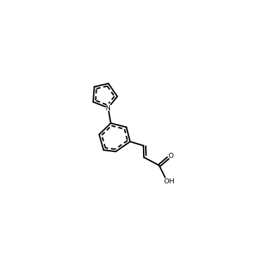 O=C(O)/C=C/c1cccc(-n2cccc2)c1